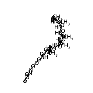 Cn1cc(NC(=O)c2nccn2C)cc1C(=O)NCCC(=O)Nc1cn(C)c(C(=O)Nc2cn(C)c(C(=O)NCCC(=O)Nc3cn(C)c(C(=O)NCCC(=O)NCCOCCOCCOCCN4CCN(CC(=O)OCc5ccccc5)CC4)n3)n2)n1